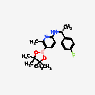 Cc1nc(N[C@H](C)c2ccc(F)cc2)ccc1B1OC(C)(C)C(C)(C)O1